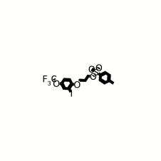 Cc1ccc(S(=O)(=O)OCCCOc2ccc(OC(F)(F)F)cc2I)cc1